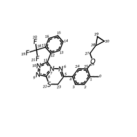 Cc1ccc(C2=Nn3c(nnc3-c3ccccc3C(F)(F)F)SC2)cc1OCC1CC1